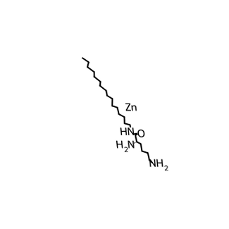 CCCCCCCCCCCCCCCCNC(=O)[C@@H](N)CCCCN.[Zn]